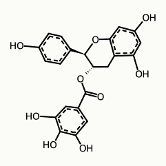 O=C(O[C@H]1Cc2c(O)cc(O)cc2O[C@@H]1c1ccc(O)cc1)c1cc(O)c(O)c(O)c1